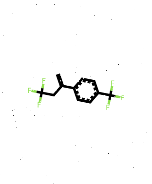 C=C(CC(F)(F)F)c1ccc(C(F)(F)F)cc1